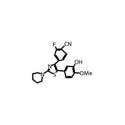 COc1ccc(-c2sc(N3CCCCC3)nc2-c2ccc(C#N)c(F)c2)cc1O